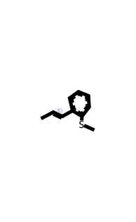 C/C=C/c1ccccc1SC